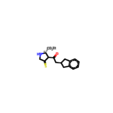 CCOC(=O)[C@H]1NCC(=S)C1C(=O)CC1Cc2ccccc2C1